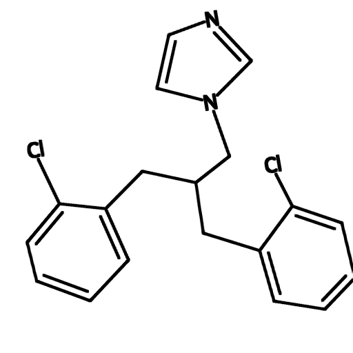 Clc1ccccc1CC(Cc1ccccc1Cl)Cn1ccnc1